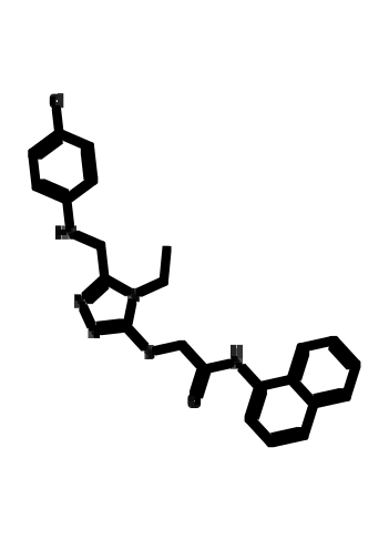 CCn1c(CNc2ccc(Cl)cc2)nnc1SCC(=O)Nc1cccc2ccccc12